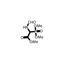 COC(=O)C(NC=O)P(=O)(OC)OC